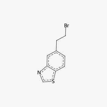 BrCCc1ccc2scnc2c1